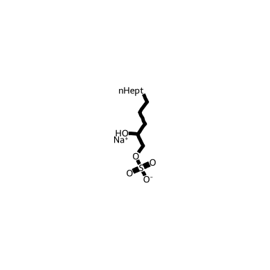 CCCCCCCCCCC(O)COS(=O)(=O)[O-].[Na+]